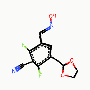 N#Cc1c(F)c(/C=N/O)cc(C2OCCO2)c1F